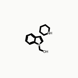 C1CCNCC1.OCn1ccc2ccccc21